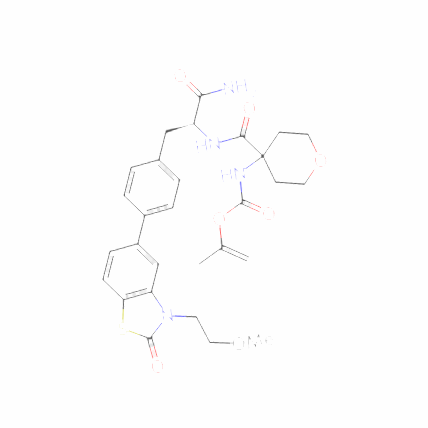 C=C(C)OC(=O)NC1(C(=O)N[C@@H](Cc2ccc(-c3ccc4sc(=O)n(CCOC)c4c3)cc2)C(N)=O)CCOCC1